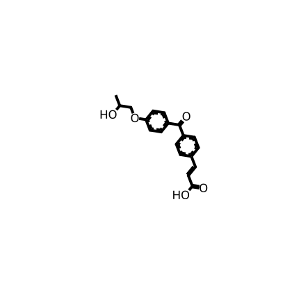 CC(O)COc1ccc(C(=O)c2ccc(C=CC(=O)O)cc2)cc1